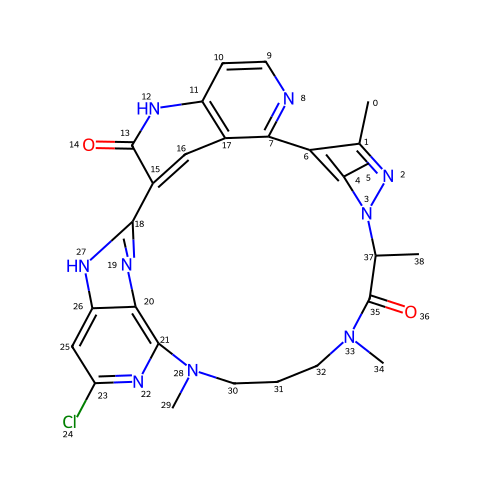 Cc1nn2c(C)c1-c1nccc3[nH]c(=O)c(cc13)-c1nc3c(nc(Cl)cc3[nH]1)N(C)CCCN(C)C(=O)C2C